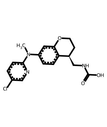 CN(c1ccc2c(c1)OCC[C@H]2CNC(=O)O)c1ccc(Cl)cn1